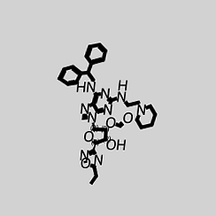 CCc1nc([C@H]2O[C@@H](n3cnc4c(NCC(c5ccccc5)c5ccccc5)nc(NCCN5CCCCC5)nc43)[C@H](OC=O)[C@@H]2O)no1